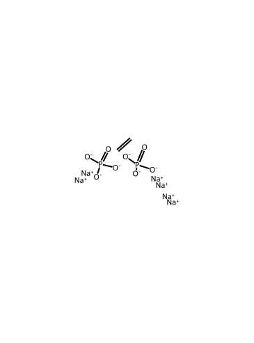 C=C.O=P([O-])([O-])[O-].O=P([O-])([O-])[O-].[Na+].[Na+].[Na+].[Na+].[Na+].[Na+]